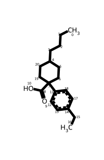 CCCCC1CCC(C(=O)O)(c2ccc(CC)cc2)CC1